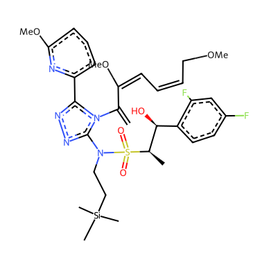 C=C(/C(=C\C=C/COC)OC)n1c(-c2cccc(OC)n2)nnc1N(CC[Si](C)(C)C)S(=O)(=O)[C@H](C)[C@@H](O)c1ccc(F)cc1F